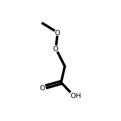 COOCC(=O)O